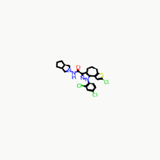 O=C(NN1CC2CCCC2C1)c1nn(-c2ccc(Cl)cc2Cl)c2c1CCCc1sc(Cl)cc1-2